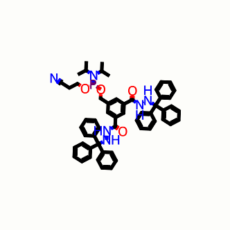 CC(C)N(C(C)C)P(OCCC#N)OCc1cc(C(=O)NNC(c2ccccc2)(c2ccccc2)c2ccccc2)cc(C(=O)NNC(c2ccccc2)(c2ccccc2)c2ccccc2)c1